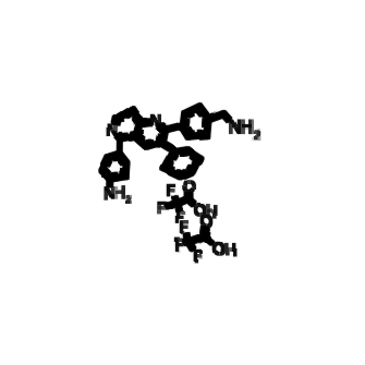 NCc1ccc(-c2nc3ccnc(-c4ccc(N)cc4)c3cc2-c2ccccc2)cc1.O=C(O)C(F)(F)F.O=C(O)C(F)(F)F